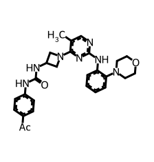 CC(=O)c1ccc(NC(=O)NC2CN(c3nc(Nc4ccccc4N4CCOCC4)ncc3C)C2)cc1